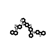 c1ccc2c(-n3cnc4cc(-n5c6cc7c(cc6c6cccnc65)sc5cc6c(cc57)c5ccccc5n6-c5ccc6c(c5)sc5ccccc56)ccc43)cccc2c1